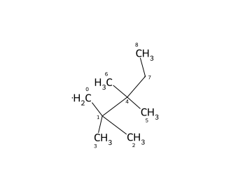 [CH2]C(C)(C)C(C)(C)CC